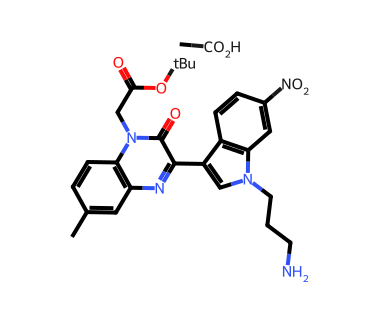 CC(=O)O.Cc1ccc2c(c1)nc(-c1cn(CCCN)c3cc([N+](=O)[O-])ccc13)c(=O)n2CC(=O)OC(C)(C)C